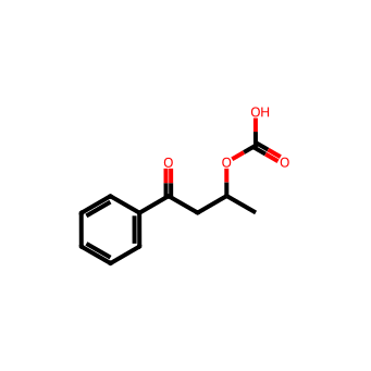 CC(CC(=O)c1ccccc1)OC(=O)O